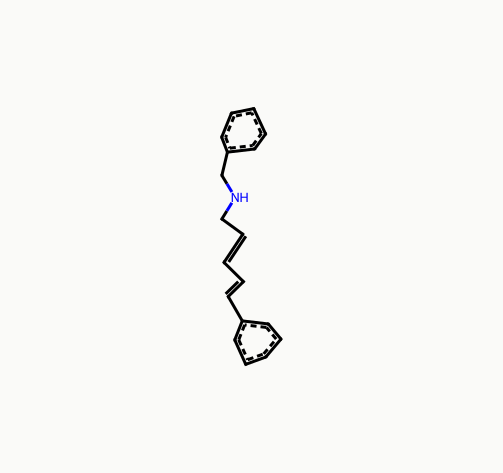 C(C=Cc1ccccc1)=CCNCc1ccccc1